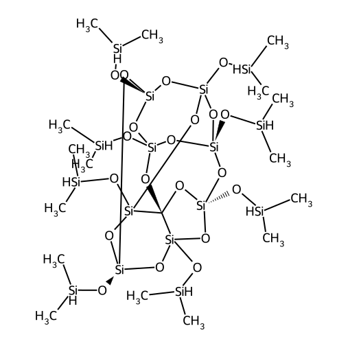 C[SiH](C)O[Si]12O[C@@]34O[Si@]5(O[SiH](C)C)O[Si]3(O[SiH](C)C)O[Si@]3(O[SiH](C)C)O[Si]4(O[SiH](C)C)O[Si](O[SiH](C)C)(O[Si@](O[SiH](C)C)(O1)O3)O[Si@@](O[SiH](C)C)(O2)O5